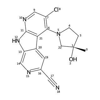 C[C@]1(O)CCN(c2c(Cl)cnc3[nH]c4cnc(C#N)cc4c23)C1